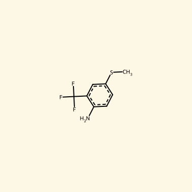 CSc1ccc(N)c(C(F)(F)F)c1